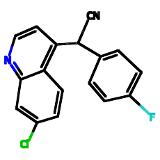 N#CC(c1ccc(F)cc1)c1ccnc2cc(Cl)ccc12